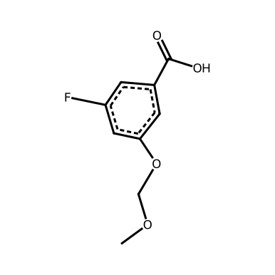 COCOc1cc(F)cc(C(=O)O)c1